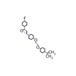 C=C(C)c1ccc(OCCOc2ccc(/C=C/C(=O)c3ccc(F)cc3)cc2)cc1